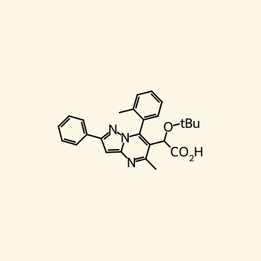 Cc1ccccc1-c1c(C(OC(C)(C)C)C(=O)O)c(C)nc2cc(-c3ccccc3)nn12